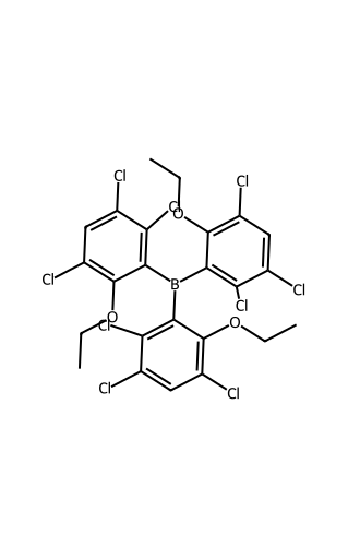 CCOc1c(Cl)cc(Cl)c(Cl)c1B(c1c(Cl)c(Cl)cc(Cl)c1OCC)c1c(Cl)c(Cl)cc(Cl)c1OCC